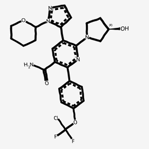 NC(=O)c1cc(-c2ccnn2C2CCCCO2)c(N2CC[C@@H](O)C2)nc1-c1ccc(OC(F)(F)Cl)cc1